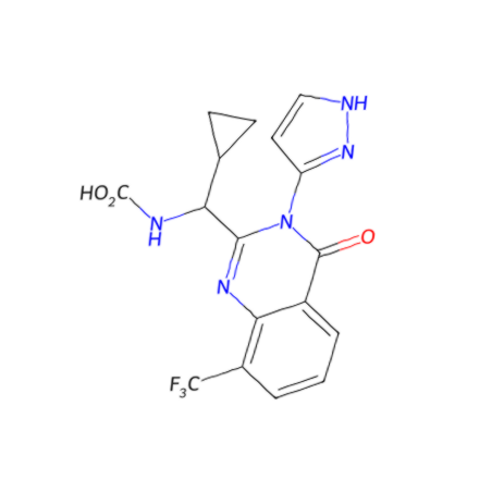 O=C(O)NC(c1nc2c(C(F)(F)F)cccc2c(=O)n1-c1cc[nH]n1)C1CC1